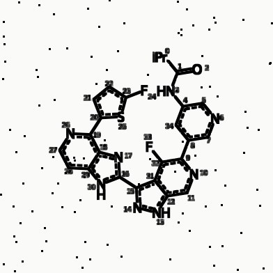 CC(C)C(=O)Nc1cncc(-c2ncc3[nH]nc(-c4nc5c(-c6ccc(F)s6)nccc5[nH]4)c3c2F)c1